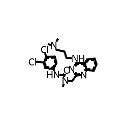 CN(C)CCCNc1nc(CN(C)C(=O)Nc2ccc(Cl)c(Cl)c2)nc2ccccc12